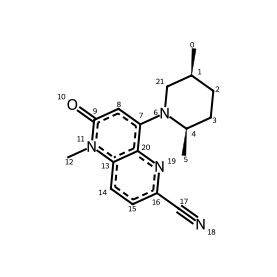 C[C@H]1CC[C@@H](C)N(c2cc(=O)n(C)c3ccc(C#N)nc23)C1